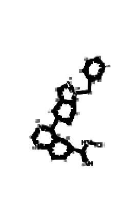 N=C(NO)c1ccc2ncnc(-c3ccc4c(cnn4Cc4ccccc4)c3)c2c1